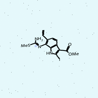 C=Cc1ccc2c(C(=O)OC)c(I)[nH]c2c1/N=C(\N)SC